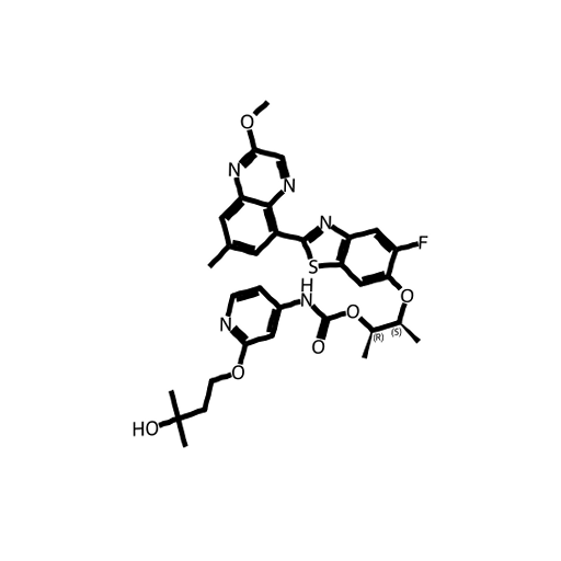 COc1cnc2c(-c3nc4cc(F)c(O[C@@H](C)[C@@H](C)OC(=O)Nc5ccnc(OCCC(C)(C)O)c5)cc4s3)cc(C)cc2n1